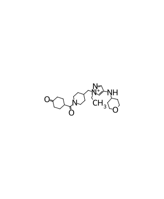 CC[N+]1(CC2CCN(C(=O)C3CCC(=O)CC3)CC2)C=C(NC2CCOCC2)C=N1